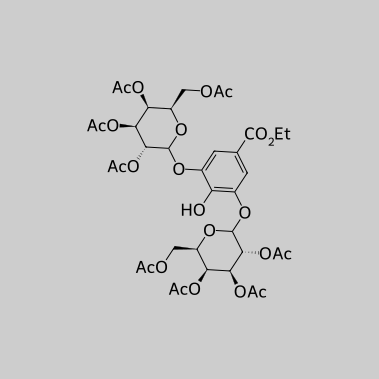 CCOC(=O)c1cc(OC2O[C@H](COC(C)=O)[C@H](OC(C)=O)[C@H](OC(C)=O)[C@H]2OC(C)=O)c(O)c(OC2O[C@H](COC(C)=O)[C@H](OC(C)=O)[C@H](OC(C)=O)[C@H]2OC(C)=O)c1